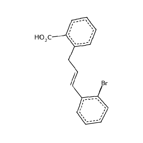 O=C(O)c1ccccc1CC=Cc1ccccc1Br